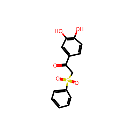 O=C(CS(=O)(=O)c1ccccc1)c1ccc(O)c(O)c1